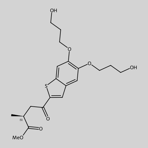 COC(=O)[C@@H](C)CC(=O)c1cc2cc(OCCCO)c(OCCCO)cc2s1